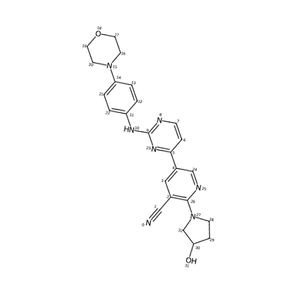 N#Cc1cc(-c2ccnc(Nc3ccc(N4CCOCC4)cc3)n2)cnc1N1CCC(O)C1